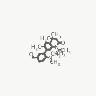 Cc1cc2c(cc1-c1cc(C=O)ccc1N(C)C)N(C(C)C)C(=O)CC2(C)C